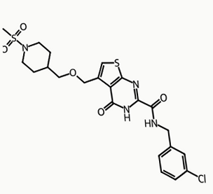 CS(=O)(=O)N1CCC(COCc2csc3nc(C(=O)NCc4cccc(Cl)c4)[nH]c(=O)c23)CC1